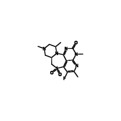 Cc1nc2c3c(nc(=O)n2C)N2C(C)CN(C)CC2CS(=O)(=O)c3c1F